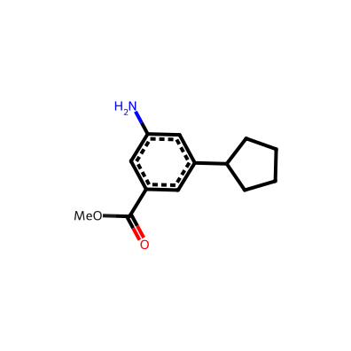 COC(=O)c1cc(N)cc(C2CCCC2)c1